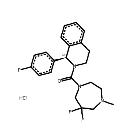 CN1CCN(C(=O)N2CCc3ccccc3[C@@H]2c2ccc(F)cc2)CC(F)(F)C1.Cl